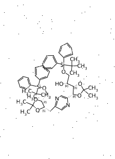 CC1(C)O[C@@H]([C@H](O)CO[Si](c2ccccc2)(c2ccccc2)C(C)(C)C)[C@@H](c2cnc(C[C@@H]3OC(C)(C)O[C@@H]3CO[Si](c3ccccc3)(c3ccccc3)C(C)(C)C)cn2)O1